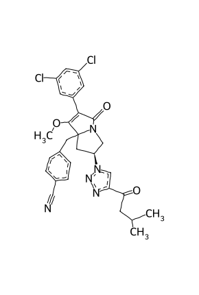 COC1=C(c2cc(Cl)cc(Cl)c2)C(=O)N2C[C@@H](n3cc(C(=O)CC(C)C)nn3)CC12Cc1ccc(C#N)cc1